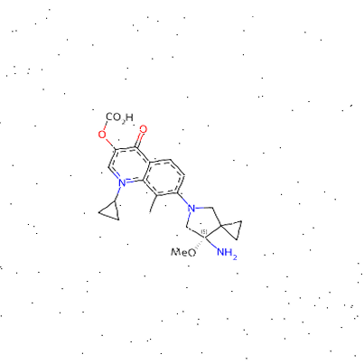 CO[C@]1(N)CN(c2ccc3c(=O)c(OC(=O)O)cn(C4CC4)c3c2C)CC12CC2